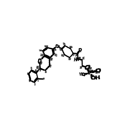 Cc1ccccc1[C@@H]1CCc2cc(OC3CCC(C(=O)NCCOP(=O)(O)O)CC3)ccc2O1